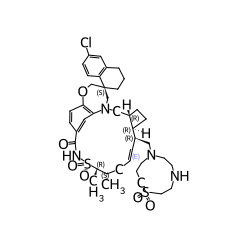 C[C@@H]1[C@@H](C)C/C=C/[C@H](CN2CCCS(=O)(=O)CCNCC2)[C@@H]2CC[C@H]2CN2C[C@@]3(CCCc4cc(Cl)ccc43)COc3ccc(cc32)C(=O)NS1(=O)=O